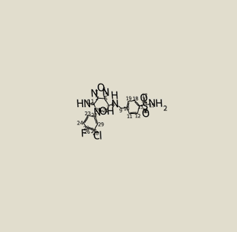 N=C(c1nonc1CNCc1ccc(S(N)(=O)=O)cc1)N(O)c1ccc(F)c(Cl)c1